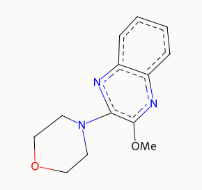 COc1nc2ccccc2nc1N1CCOCC1